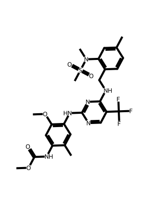 COC(=O)Nc1cc(OC)c(Nc2ncc(C(F)(F)F)c(NCc3ccc(C)cc3N(C)S(C)(=O)=O)n2)cc1C